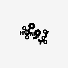 C=C(C)C(=O)OCC1CO1.C=Cc1ccccc1.NC1=C(c2ccccc2)C(=O)NC1=O